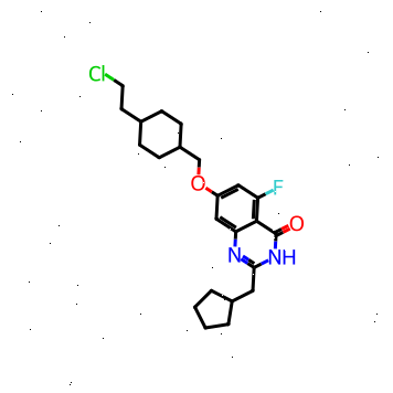 O=c1[nH]c(CC2CCCC2)nc2cc(OCC3CCC(CCCl)CC3)cc(F)c12